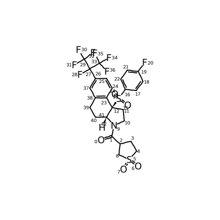 O=C(C1CCS(=O)(=O)C1)N1CC[C@@]2(S(=O)(=O)c3ccc(F)cc3)c3ccc(C(F)(C(F)(F)F)C(F)(F)F)cc3CC[C@@H]12